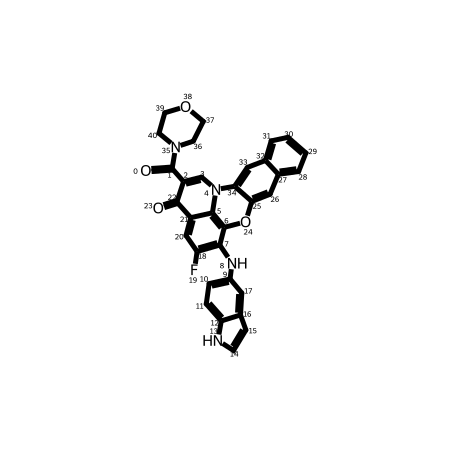 O=C(c1cn2c3c(c(Nc4ccc5[nH]ccc5c4)c(F)cc3c1=O)Oc1cc3ccccc3cc1-2)N1CCOCC1